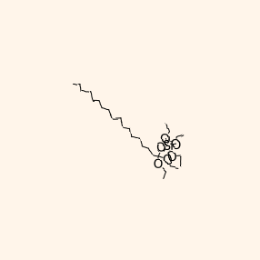 CCCCCCCCCCCCCCCCCC(OCC)(OCC)O[Si](OCC)(OCC)OCC